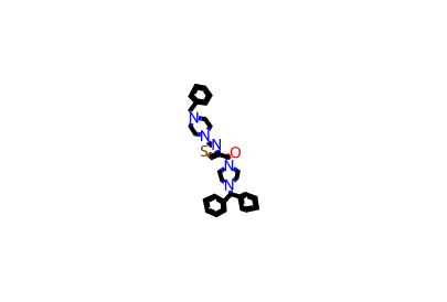 O=C(c1csc(N2CCN(Cc3ccccc3)CC2)n1)N1CCN(C(c2ccccc2)c2ccccc2)CC1